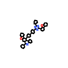 c1ccc(-c2nc(-c3ccc(-c4ccc(-c5c6c(cc7c(-c8ccccc8)nc8ccccc8c57)oc5ccccc56)cc4)cc3)nc(-c3cccc4c3oc3ccccc34)n2)cc1